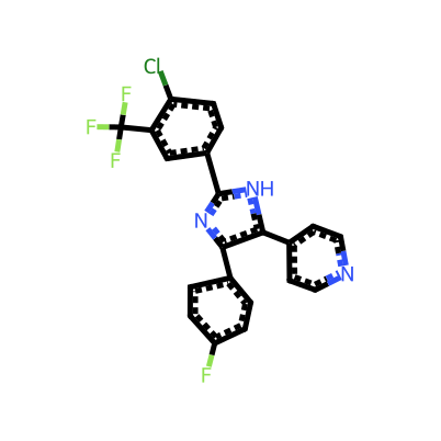 Fc1ccc(-c2nc(-c3ccc(Cl)c(C(F)(F)F)c3)[nH]c2-c2ccncc2)cc1